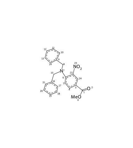 COC(=O)c1ccc(N(Cc2ccccc2)Cc2ccccc2)c([N+](=O)[O-])c1